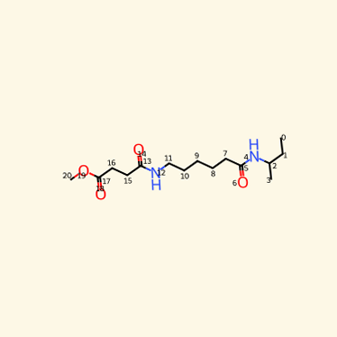 CCC(C)NC(=O)CCCCCNC(=O)CCC(=O)OC